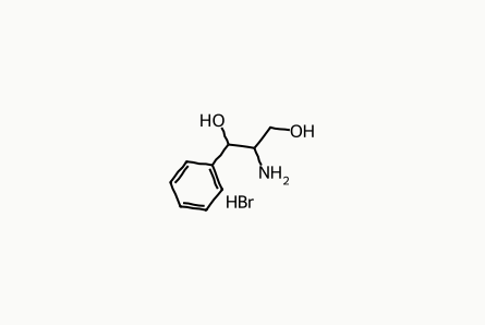 Br.NC(CO)C(O)c1ccccc1